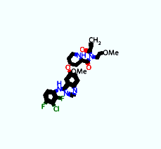 C=CC(=O)N(CCOC)C(=O)C1CC(Oc2cc3c(Nc4ccc(F)c(Cl)c4F)ncnc3cc2OC)CCN1